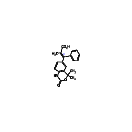 C/C(C(=O)O)=C(/c1ccccc1)c1ccc2c(c1)C(C)(C)OC(=O)N2